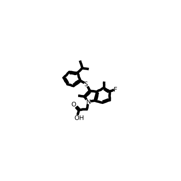 Cc1c(F)ccc2c1c(Sc1ccccc1C(C)C)c(C)n2CC(=O)O